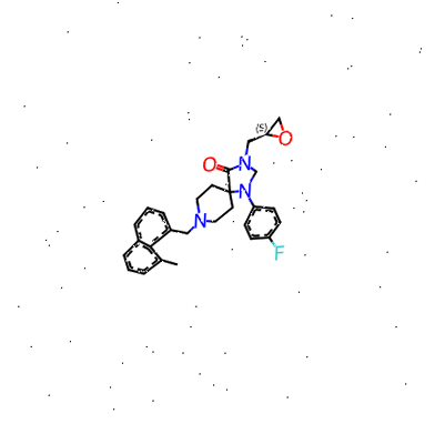 Cc1cccc2cccc(CN3CCC4(CC3)C(=O)N(C[C@H]3CO3)CN4c3ccc(F)cc3)c12